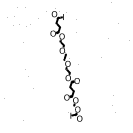 O=C(I)CCC(=O)OCCOCCOCCOC(=O)CCC(=O)OCOC(=O)I